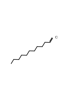 C=CCCCCCCCCCC.[C]